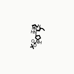 CCc1cc(N[C@H]2CC[C@H](NC(=O)OC(C)(C)C)C2)n2nccc2n1